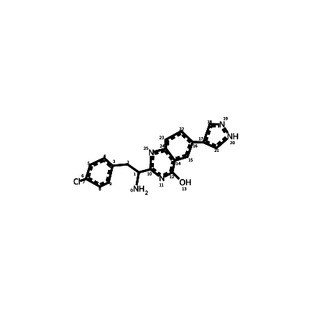 NC(Cc1ccc(Cl)cc1)c1nc(O)c2cc(-c3cn[nH]c3)ccc2n1